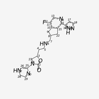 O=C1OC(CCNCC2Cc3c(F)cnc(-c4ccn[nH]4)c3C2)CN1C1=CNCC=N1